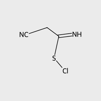 N#CCC(=N)SCl